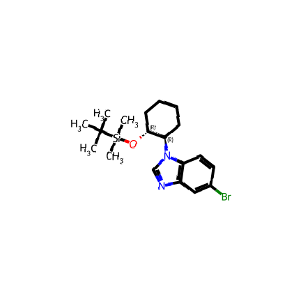 CC(C)(C)[Si](C)(C)O[C@@H]1CCCC[C@H]1n1cnc2cc(Br)ccc21